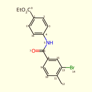 CCOC(=O)c1ccc(NC(=O)c2ccc(C)c(Br)c2)cc1